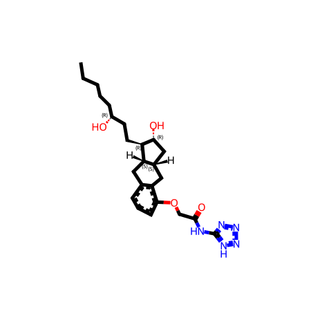 CCCCC[C@@H](O)CC[C@@H]1[C@H]2Cc3cccc(OCC(=O)Nc4nnn[nH]4)c3C[C@H]2C[C@H]1O